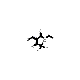 CCOC(=O)/C(=C/Cl)C(=O)C(F)(F)F